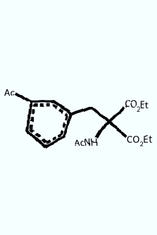 CCOC(=O)C(Cc1cccc(C(C)=O)c1)(NC(C)=O)C(=O)OCC